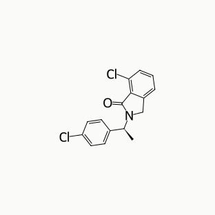 C[C@@H](c1ccc(Cl)cc1)N1Cc2cccc(Cl)c2C1=O